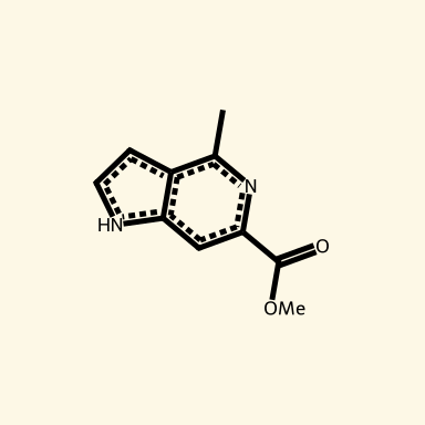 COC(=O)c1cc2[nH]ccc2c(C)n1